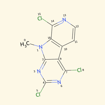 Cn1c2nc(Cl)nc(Cl)c2c2ccnc(Cl)c21